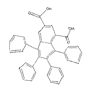 O=C(O)c1cc(C(=O)O)c2c(-c3ccccc3)c(-c3ccccc3)c(-c3ccccc3)c(-c3ccccc3)c2c1